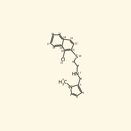 Cn1cccc1CNCCSc1ccc2ccccc2c1Cl